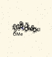 COCCN1CCO[C@H](CN2C(=O)S/C(=C\c3ccc(NCc4ccc(Cl)cc4C(F)(F)F)c(CN)c3)C2=O)C1